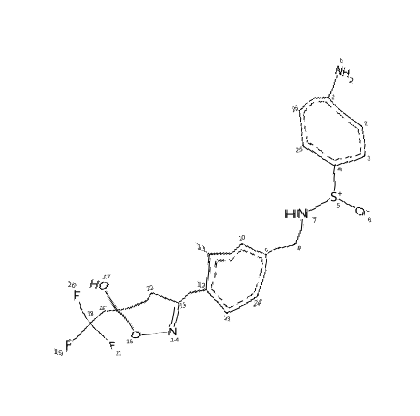 Nc1ccc([S+]([O-])NCc2ccc(C3=NOC(O)(C(F)(F)F)C3)cc2)cc1